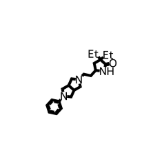 CCC1(CC)CC(CCN2CC3CN(c4ccccc4)CC3C2)NC1=O